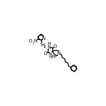 CCCN1C(=O)[C@H](CSSc2ncccc2[N+](=O)[O-])NC(=O)C12CCN(CCCCCCc1ccccc1)CC2